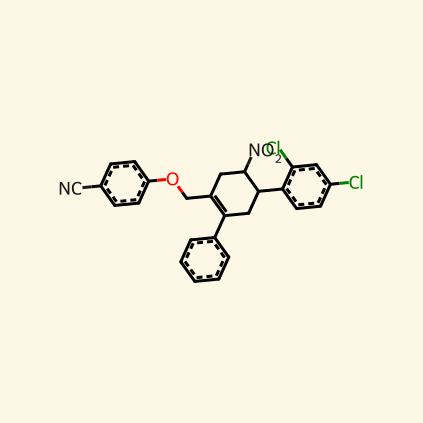 N#Cc1ccc(OCC2=C(c3ccccc3)CC(c3ccc(Cl)cc3Cl)C([N+](=O)[O-])C2)cc1